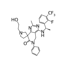 Cc1nc(N[C@H](C)c2cccc(C(F)(F)F)c2F)c2c(n1)C1(CCN(CCO)C1)C(=O)N(c1ccccc1)C2